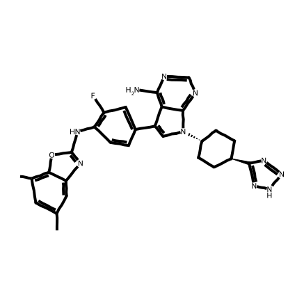 Cc1cc(C)c2oc(Nc3ccc(-c4cn([C@H]5CC[C@H](c6nn[nH]n6)CC5)c5ncnc(N)c45)cc3F)nc2c1